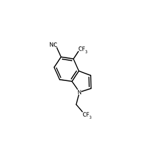 N#Cc1ccc2c(ccn2CC(F)(F)F)c1C(F)(F)F